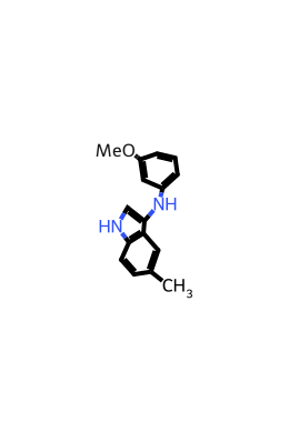 COc1cccc(Nc2c[nH]c3ccc(C)cc23)c1